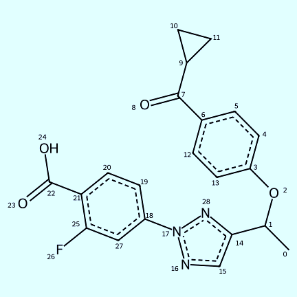 CC(Oc1ccc(C(=O)C2CC2)cc1)c1cnn(-c2ccc(C(=O)O)c(F)c2)n1